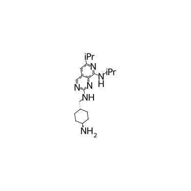 CC(C)Nc1nc(C(C)C)cc2cnc(NC[C@H]3CC[C@H](N)CC3)nc12